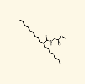 CCCCCCCCCC(CCCCCCC)C(=O)NCC(=O)OC